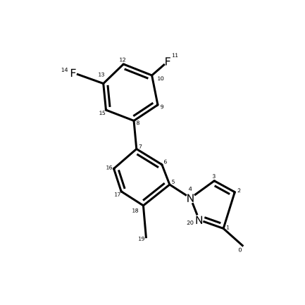 Cc1ccn(-c2cc(-c3cc(F)cc(F)c3)ccc2C)n1